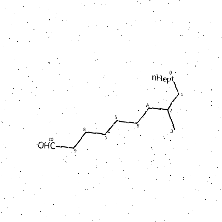 CCCCCCCCC(C)CCCCCC[C]=O